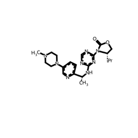 CC(C)[C@H]1COC(=O)N1c1ncnc(N[C@H](C)c2ccc(N3CCN(C)CC3)cn2)n1